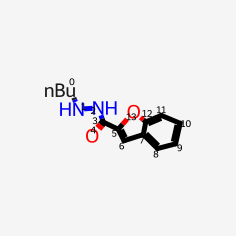 CCCCNNC(=O)c1cc2ccccc2o1